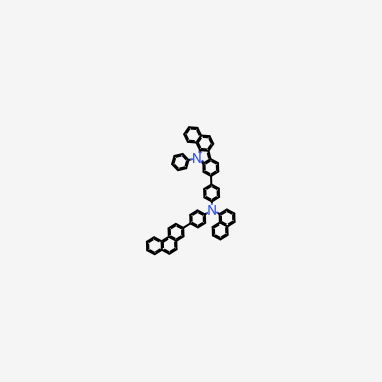 c1ccc(-n2c3cc(-c4ccc(N(c5ccc(-c6ccc7c(ccc8ccccc87)c6)cc5)c5cccc6ccccc56)cc4)ccc3c3ccc4ccccc4c32)cc1